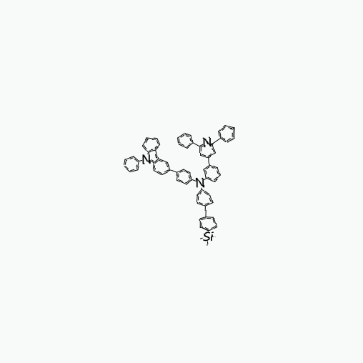 C[Si](C)(C)c1ccc(-c2ccc(N(c3ccc(-c4ccc5c(c4)c4ccccc4n5-c4ccccc4)cc3)c3cccc(-c4cc(-c5ccccc5)nc(-c5ccccc5)c4)c3)cc2)cc1